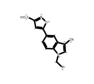 CCOC(=O)c1cc(-c2ccc3c(c2)c(C#N)cn3CC(C)C)on1